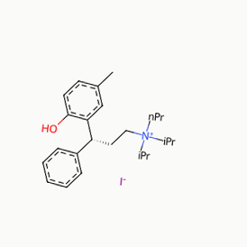 CCC[N+](CC[C@H](c1ccccc1)c1cc(C)ccc1O)(C(C)C)C(C)C.[I-]